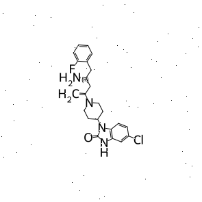 C=C(C[C@H](N)Cc1ccccc1F)N1CCC(n2c(=O)[nH]c3cc(Cl)ccc32)CC1